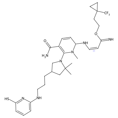 CN1C(N2CC(CCCNc3cccc(S)n3)CC2(C)C)=C(C(N)=O)C=CC1N/C=C\C(=N)OCCC1(C(F)(F)F)CC1